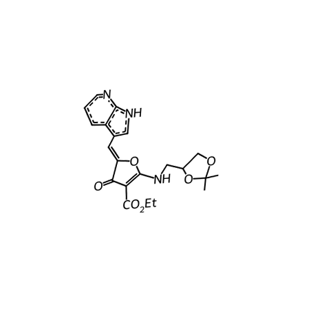 CCOC(=O)C1=C(NCC2COC(C)(C)O2)OC(=Cc2c[nH]c3ncccc23)C1=O